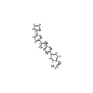 COc1ccc(-c2nc3sc(-c4ccc(-c5cccs5)s4)nc3s2)cc1